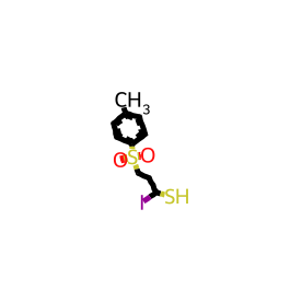 Cc1ccc(S(=O)(=O)CCC(S)I)cc1